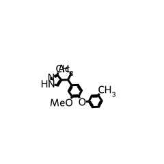 COc1cc(C(CC(C)=O)c2c[nH]nc2C)ccc1Oc1cccc(C)c1